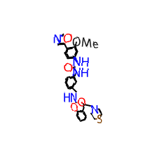 COc1cc(NC(=O)Nc2cccc(CNC(=O)OC(CN3CCSCC3)c3ccccc3)c2)ccc1-c1cnco1